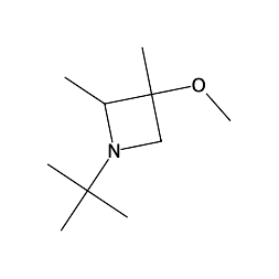 COC1(C)CN(C(C)(C)C)C1C